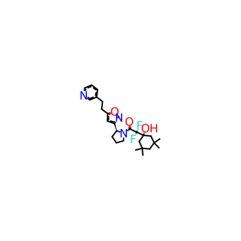 CC1(C)CC(C)(C)CC(O)(C(F)(F)C(=O)N2CCC[C@H]2c2cc(CCc3cccnc3)on2)C1